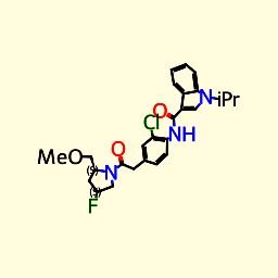 COC[C@@H]1C[C@H](F)CN1C(=O)Cc1ccc(NC(=O)c2cn(C(C)C)c3ccccc23)c(Cl)c1